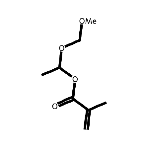 C=C(C)C(=O)OC(C)OCOC